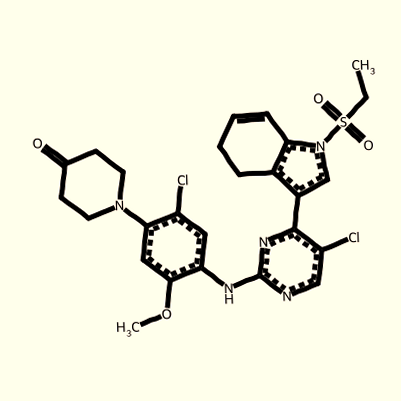 CCS(=O)(=O)n1cc(-c2nc(Nc3cc(Cl)c(N4CCC(=O)CC4)cc3OC)ncc2Cl)c2c1C=CCC2